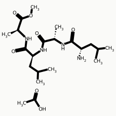 CC(=O)O.COC(=O)[C@H](C)NC(=O)[C@H](CC(C)C)NC(=O)[C@H](C)NC(=O)[C@@H](N)CC(C)C